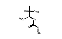 COC(C)(C)[C@H](NC(=O)OC(C)(C)C)C(=O)O